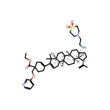 C=C(C)[C@@H]1CC[C@]2(NCCN3CCS(=O)(=O)CC3)CC[C@]3(C)[C@H](CC[C@@H]4[C@@]5(C)CC=C(C6=CCC(COc7cccnc7)(C(=O)OCC)CC6)C(C)(C)[C@@H]5CC[C@]43C)[C@@H]12